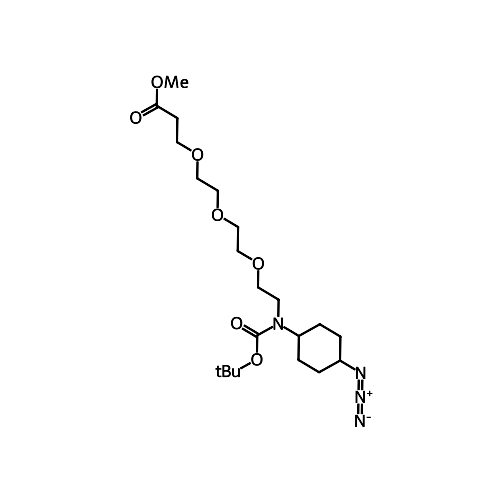 COC(=O)CCOCCOCCOCCN(C(=O)OC(C)(C)C)C1CCC(N=[N+]=[N-])CC1